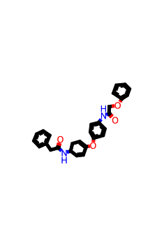 O=C(COc1ccccc1)Nc1ccc(OC2=CCC(NC(=O)Cc3ccccc3)C=C2)cc1